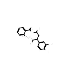 CC(CC(c1ccc(O)c(O)c1)[C@@H](N)C(=O)O)OC(=O)c1ccccc1O